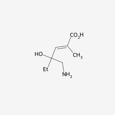 CCC(O)(/C=C(\C)C(=O)O)CN